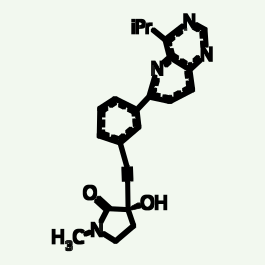 CC(C)c1ncnc2ccc(-c3cccc(C#C[C@]4(O)CCN(C)C4=O)c3)nc12